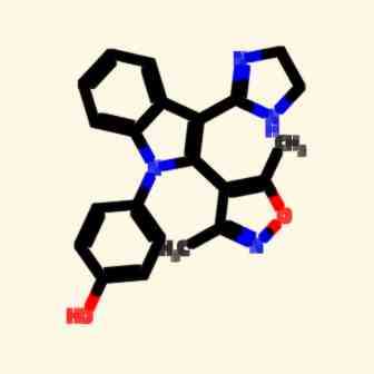 Cc1noc(C)c1-c1c(C2=NCCN2)c2ccccc2n1-c1ccc(O)cc1